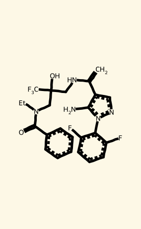 C=C(NCC(O)(CN(CC)C(=O)c1ccccc1)C(F)(F)F)c1cnn(-c2c(F)cccc2F)c1N